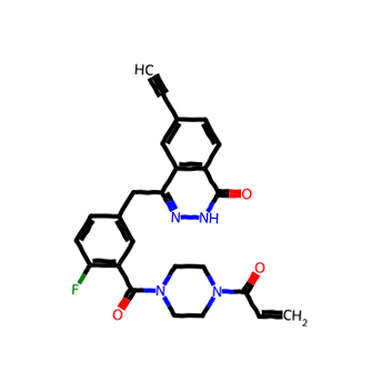 C#Cc1ccc2c(=O)[nH]nc(Cc3ccc(F)c(C(=O)N4CCN(C(=O)C=C)CC4)c3)c2c1